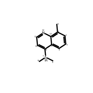 Cc1cccc2c([SH](C)C)ccnc12